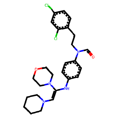 O=CN(CCc1ccc(Cl)cc1Cl)c1ccc(N/C(=C/N2CCCCC2)N2CCOCC2)cc1